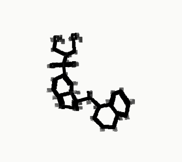 CCN(CC)S(=O)(=O)c1ccc2nnc(NC3CCCc4ccccc43)n2c1